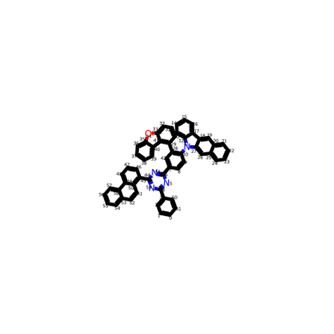 c1ccc(-c2nc(-c3ccc(-n4c5ccccc5c5cc6ccccc6cc54)c(-c4cccc5oc6ccccc6c45)c3)nc(-c3cccc4c3ccc3ccccc34)n2)cc1